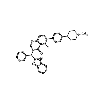 CN1CCC(c2ccc(-c3ccc4ncn(C(c5ccccc5)c5nc6ccccc6[nH]5)c(=O)c4c3F)cc2)CC1